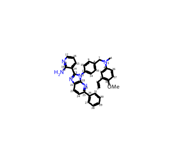 C=Cc1cc(N(C)Cc2ccc(-n3c(-c4cccnc4N)nc4ccc(-c5ccccc5)nc43)cc2)ccc1OC